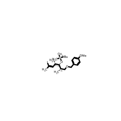 COc1ccc(COC[C@H](C)[C@@H](O[Si](C)(C)C(C)(C)C)[C@@H](C)C=C(C)I)cc1